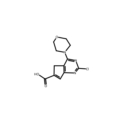 O=C(O)C1=Cc2nc(Cl)nc(N3CCOCC3)c2C1